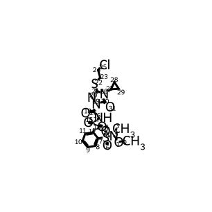 CON(C)S(=O)(=O)c1ccccc1S(=O)(=O)NC(=O)n1nc(SCCCl)n(C2CC2)c1=O